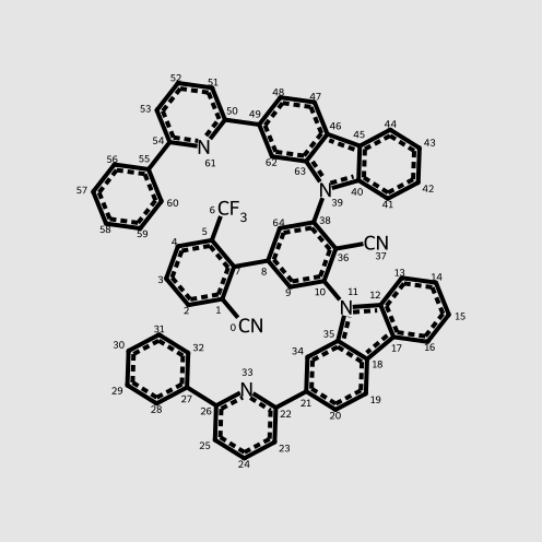 N#Cc1cccc(C(F)(F)F)c1-c1cc(-n2c3ccccc3c3ccc(-c4cccc(-c5ccccc5)n4)cc32)c(C#N)c(-n2c3ccccc3c3ccc(-c4cccc(-c5ccccc5)n4)cc32)c1